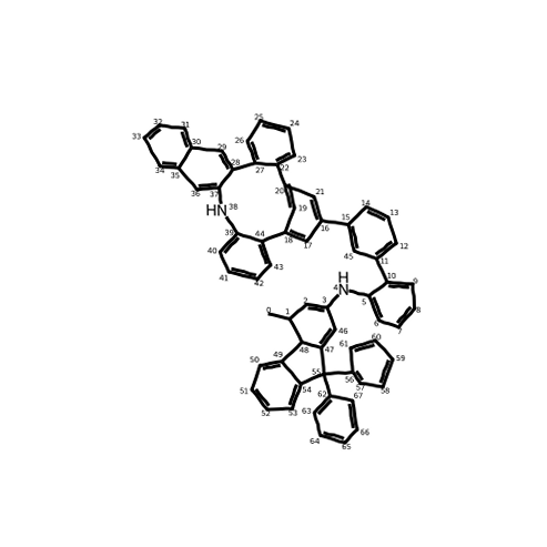 CC1C=C(Nc2ccccc2-c2cccc(-c3cc4cc(c3)-c3ccccc3-c3cc5ccccc5cc3Nc3ccccc3-4)c2)C=C2C1c1ccccc1C2(c1ccccc1)c1ccccc1